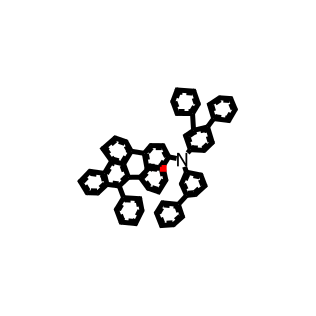 c1ccc(-c2cccc(N(c3ccc(-c4cccc5c4c(-c4ccccc4)c(-c4ccccc4)c4ccccc45)cc3)c3ccc(-c4ccccc4)c(-c4ccccc4)c3)c2)cc1